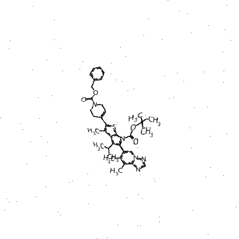 Cc1c(-c2c(C(C)C)c3c(C)c(C4=CCN(C(=O)OCc5ccccc5)CC4)sc3n2C(=O)OC(C)(C)C)cn2ncnc2c1C